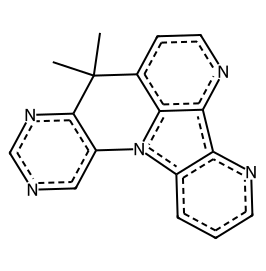 CC1(C)c2ncncc2-n2c3cccnc3c3nccc1c32